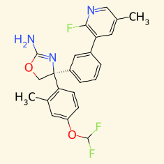 Cc1cnc(F)c(-c2cccc([C@]3(c4ccc(OC(F)F)cc4C)COC(N)=N3)c2)c1